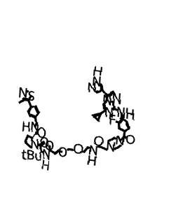 Cc1ncsc1-c1ccc(CNC(=O)[C@@H]2CCCN2C(=O)[C@@H](NC(=O)CCOCCOCCNC(=O)CN2CCN(C(=O)c3ccc(Nc4nc(C5CC5)cn5c(-c6cn[nH]c6)cnc45)c(F)c3)CC2)C(C)(C)C)cc1